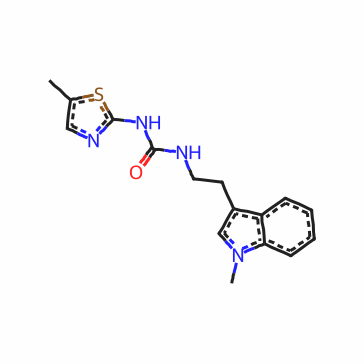 Cc1cnc(NC(=O)NCCc2cn(C)c3ccccc23)s1